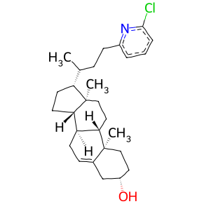 CC(CCc1cccc(Cl)n1)[C@H]1CC[C@H]2[C@@H]3CC=C4C[C@@H](O)CC[C@]4(C)[C@H]3CC[C@]12C